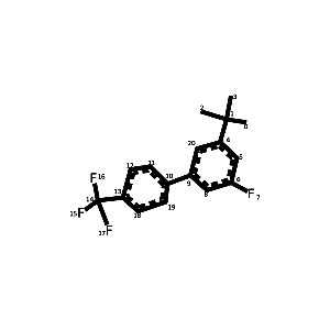 CC(C)(C)c1cc(F)cc(-c2ccc(C(F)(F)F)cc2)c1